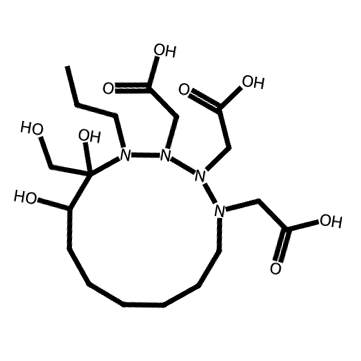 CCCN1N(CC(=O)O)N(CC(=O)O)N(CC(=O)O)CCCCCCC(O)C1(O)CO